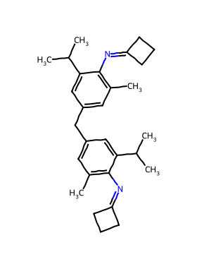 Cc1cc(Cc2cc(C)c(N=C3CCC3)c(C(C)C)c2)cc(C(C)C)c1N=C1CCC1